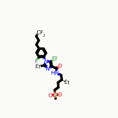 CCc1nc(C(=O)NC[C@H](CC)CCCS(C)(=O)=O)c(Cl)n1-c1ccc(CCCC(F)(F)F)cc1F